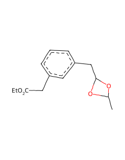 CCOC(=O)Cc1cccc(CC2OC(C)O2)c1